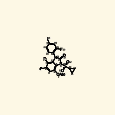 COc1cc(F)c(F)c2c1n(S(=O)(=O)C1CC1)c(=O)n2-c1ccc(I)cc1F